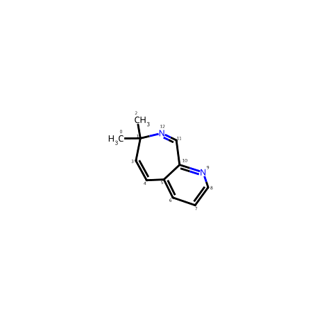 CC1(C)C=Cc2cccnc2C=N1